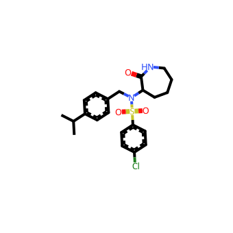 CC(C)c1ccc(CN(C2CCCCNC2=O)S(=O)(=O)c2ccc(Cl)cc2)cc1